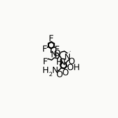 C[C@H]1CC[C@]2(CC(CCF)N(Cc3c(F)cc(F)cc3F)O2)[C@H]2CN1C(=O)c1c(O)c(=O)c(C(N)=O)cn12